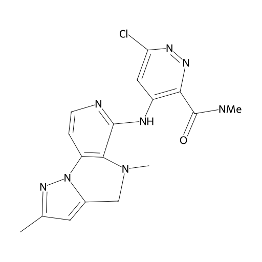 CNC(=O)c1nnc(Cl)cc1Nc1nccc2c1N(C)Cc1cc(C)nn1-2